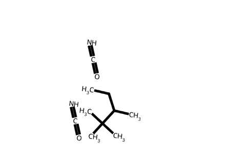 CCC(C)C(C)(C)C.N=C=O.N=C=O